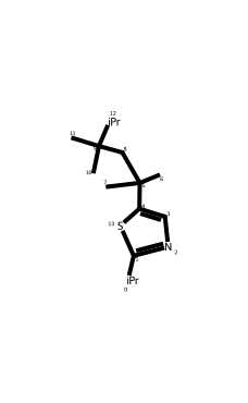 CC(C)c1ncc(C(C)(C)CC(C)(C)C(C)C)s1